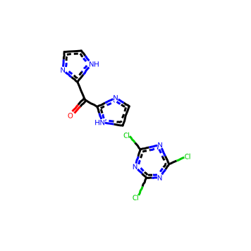 Clc1nc(Cl)nc(Cl)n1.O=C(c1ncc[nH]1)c1ncc[nH]1